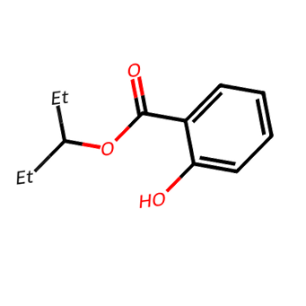 CCC(CC)OC(=O)c1ccccc1O